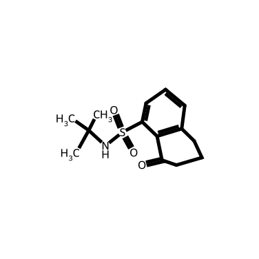 CC(C)(C)NS(=O)(=O)c1cccc2c1C(=O)CCC2